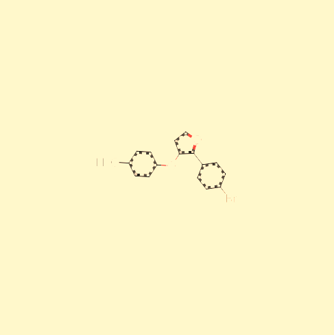 Cc1ccc(Oc2ccoc2-c2ccc(Br)cc2)cc1